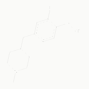 CN1CCC(Cc2ccc(OC(F)(F)F)c(F)c2)CC1